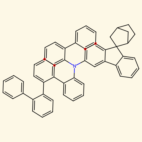 c1ccc(-c2ccccc2-c2ccccc2-c2ccccc2N(c2ccc3c(c2)-c2ccccc2C32CC3CCC2C3)c2ccccc2-c2ccccc2)cc1